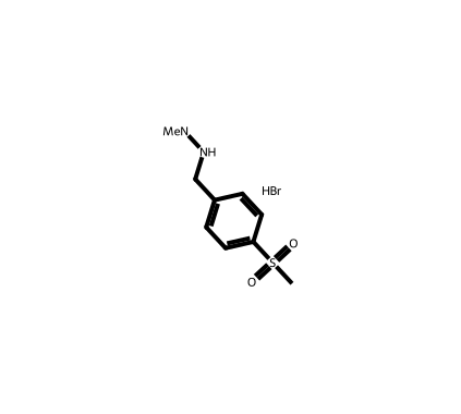 Br.CNNCc1ccc(S(C)(=O)=O)cc1